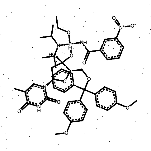 CCO[PH](NC(=O)c1cccc([N+](=O)[O-])c1)(O[C@@]1(O)C[C@H](n2cc(C)c(=O)[nH]c2=O)O[C@@H]1COC(c1ccccc1)(c1ccc(OC)cc1)c1ccc(OC)cc1)N(C(C)C)C(C)C